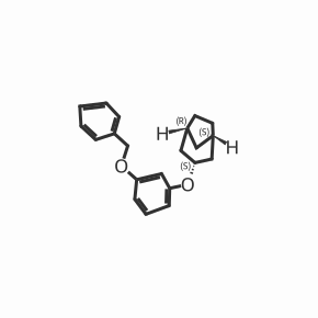 c1ccc(COc2cccc(O[C@@H]3C[C@@H]4CC[C@@H](C4)C3)c2)cc1